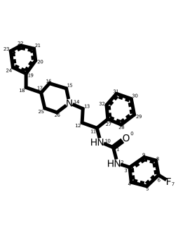 O=C(Nc1ccc(F)cc1)NC(CCN1CCC(Cc2ccccc2)CC1)c1ccccc1